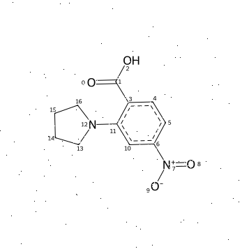 O=C(O)c1ccc([N+](=O)[O-])cc1N1CCCC1